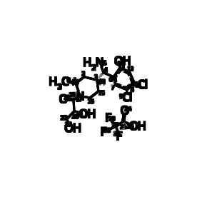 C[C@H]1C[C@H](C(N)c2cc(Cl)c(Cl)cc2O)CCN1C(=O)C(O)CO.O=C(O)C(F)(F)F